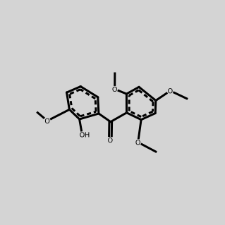 COc1cc(OC)c(C(=O)c2cccc(OC)c2O)c(OC)c1